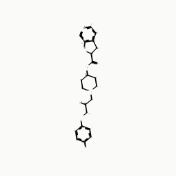 O=C(NC1CCN(CC(O)COc2ccc(Cl)cc2)CC1)C1Cc2ccncc2O1